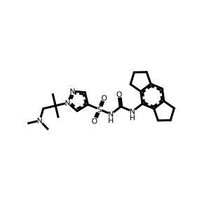 CN(C)CC(C)(C)n1cc(S(=O)(=O)NC(=O)Nc2c3c(cc4c2CCC4)CCC3)cn1